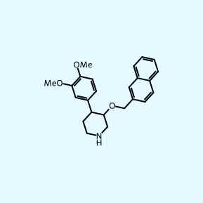 COc1ccc(C2CCNCC2OCc2ccc3ccccc3c2)cc1OC